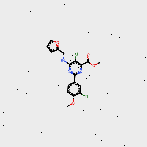 COC(=O)c1nc(-c2ccc(OC)c(Cl)c2)nc(NCc2ccco2)c1Cl